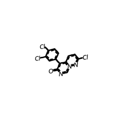 O=c1ncn2nc(Cl)ccc2c1-c1ccc(Cl)c(Cl)c1